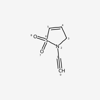 C#CN1CC=CS1(=O)=O